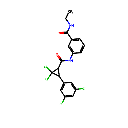 O=C(NCC(F)(F)F)c1cccc(NC(=O)C2C(c3cc(Cl)cc(Cl)c3)C2(Cl)Cl)c1